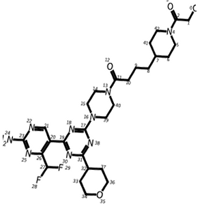 CCC(=O)N1CCC(CCCC(=O)N2CCN(c3nc(-c4cnc(N)nc4C(F)F)nc(C4CCOCC4)n3)CC2)CC1